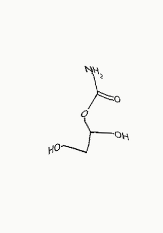 NC(=O)OC(O)CO